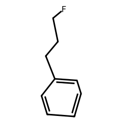 FCCCc1ccccc1